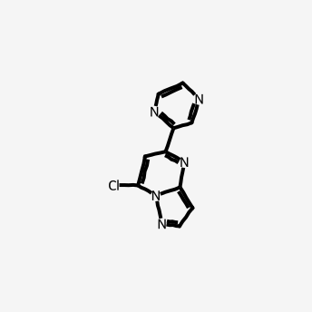 Clc1cc(-c2cnccn2)nc2ccnn12